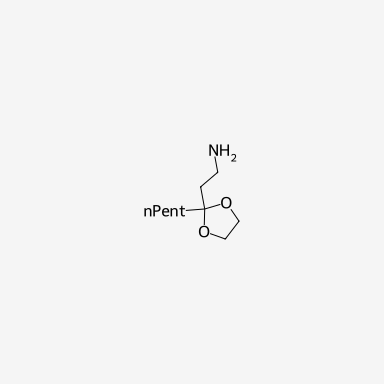 CCCCCC1(CCN)OCCO1